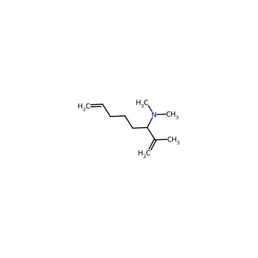 C=CCCCC(C(=C)C)N(C)C